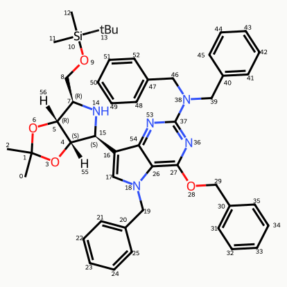 CC1(C)O[C@@H]2[C@H](O1)[C@@H](CO[Si](C)(C)C(C)(C)C)N[C@H]2c1cn(Cc2ccccc2)c2c(OCc3ccccc3)nc(N(Cc3ccccc3)Cc3ccccc3)nc12